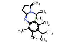 C=C1CC/C(=N/c2c(C)c(C)c(C(C)C)c(C)c2F)N1C(C)C